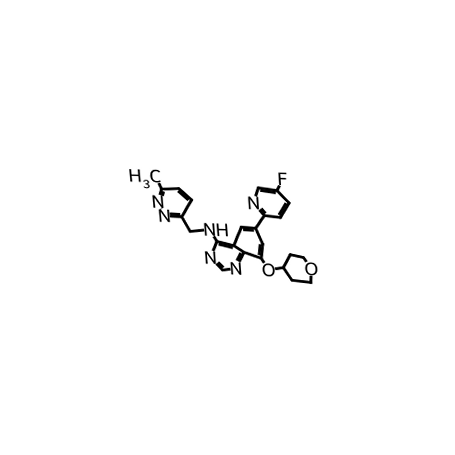 Cc1ccc(CNc2ncnc3c(OC4CCOCC4)cc(-c4ccc(F)cn4)cc23)nn1